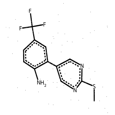 CSc1ncc(-c2cc(C(F)(F)F)ccc2N)cn1